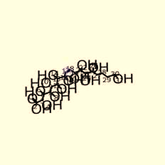 O=C(O)C(O)C(O)C(O)C(O)C(O)C(O)C(O)/C=C\C(O)C(O)C(O)C(O)CCCCO